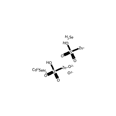 O=[S](=O)(O)[Zn+].O=[S](=O)(O)[Zn+].[Cd+2].[O-2].[O-2].[SeH2].[SeH2]